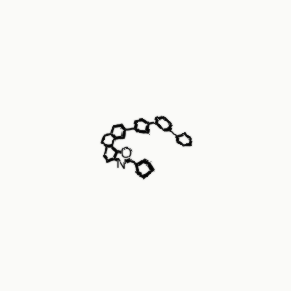 c1ccc(-c2cccc(-c3ccc(-c4ccc5ccc6ccc7nc(-c8ccccc8)oc7c6c5c4)cc3)c2)cc1